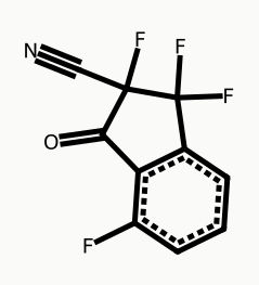 N#CC1(F)C(=O)c2c(F)cccc2C1(F)F